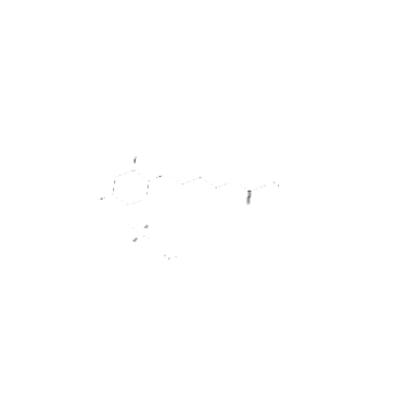 CCCCCCCCCC(=O)OCCCO[C@H]1O[C@H](CS(=O)(=O)[O-])[C@@H](O)[C@H](O)[C@H]1O.[Na+]